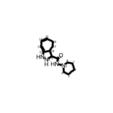 O=C(NN1CCCCC1)C1NNC2=CC=CCCC21